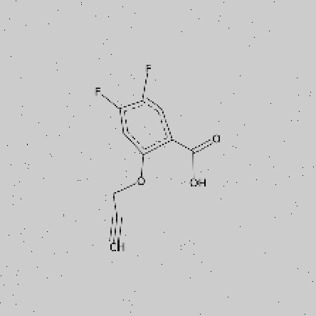 C#CCOc1cc(F)c(F)cc1C(=O)O